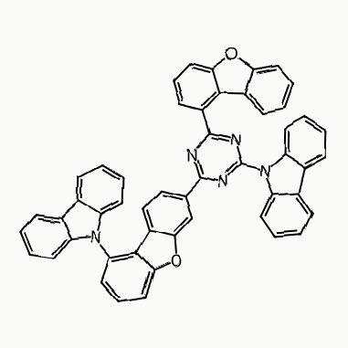 c1ccc2c(c1)oc1cccc(-c3nc(-c4ccc5c(c4)oc4cccc(-n6c7ccccc7c7ccccc76)c45)nc(-n4c5ccccc5c5ccccc54)n3)c12